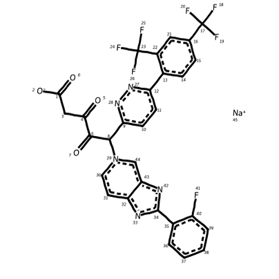 O=C([O-])CC(=O)C(=O)C(c1ccc(-c2ccc(C(F)(F)F)cc2C(F)(F)F)nn1)n1ccc2nc(-c3ccccc3F)nc-2c1.[Na+]